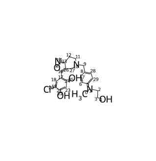 CN(CCO)c1ccc(CN2CCc3noc(-c4cc(Cl)c(O)cc4O)c3C2)cc1